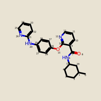 CC1CCCC(NC(=O)c2cccnc2Oc2ccc(Nc3ccccn3)cc2)C1